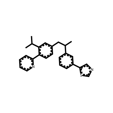 CC(C)c1cc(CC(C)c2cccc(-c3cncs3)c2)ccc1-c1ccccn1